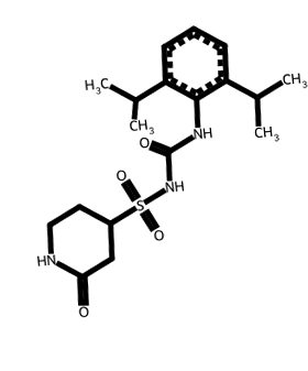 CC(C)c1cccc(C(C)C)c1NC(=O)NS(=O)(=O)C1CCNC(=O)C1